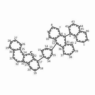 c1ccc2c(-c3c4ccccc4c(-c4ccc(-c5cccc6c5sc5c7ccccc7ccc65)cc4)c4ccccc34)cccc2c1